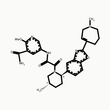 COc1ncc(NC(=O)C(=O)N2C[C@@H](C)CC[C@@H]2c2ccc3sc(C4=CCN(C)CCC4)nc3c2)cc1C(N)=O